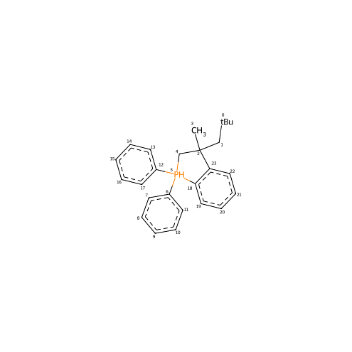 CC(C)(C)CC1(C)C[PH](c2ccccc2)(c2ccccc2)c2ccccc21